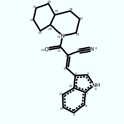 N#CC(=Cc1c[nH]c2ccccc12)C(=O)N1CCCC2CCCCC21